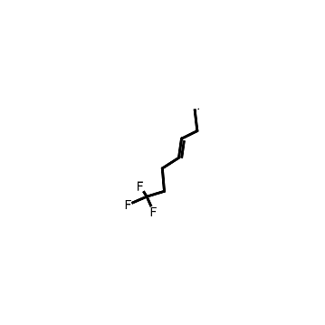 [CH2]CC=CCCC(F)(F)F